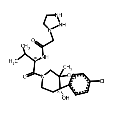 CC(C)[C@@H](NC(=O)CN1CCNN1)C(=O)N1CC[C@](O)(c2ccc(Cl)cc2)C(C)(C)C1